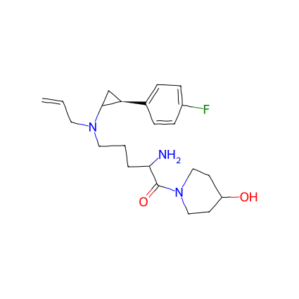 C=CCN(CCCC(N)C(=O)N1CCC(O)CC1)C1C[C@H]1c1ccc(F)cc1